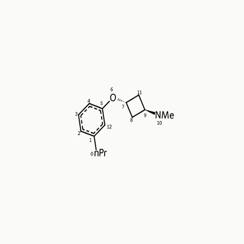 CCCc1cccc(O[C@H]2C[C@H](NC)C2)c1